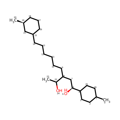 CC1CCC([C@@H](O)CC(CCCCCCC2CCC[C@H](C)C2)C(C)O)CC1